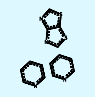 c1ccncc1.c1ccncc1.c1nc2ncsc2s1